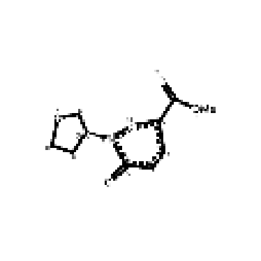 COC(=O)c1ccc(=O)n([C@H]2CCOC2)c1